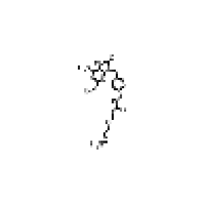 CCCCOc1nc(N)c2[nH]c(=O)n(Cc3ccc(CNC(=O)CCOCCON)cc3)c2n1